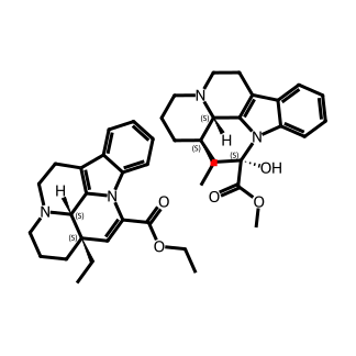 CCOC(=O)C1=C[C@]2(CC)CCCN3CCc4c(n1c1ccccc41)[C@@H]32.CC[C@]12CCCN3CCc4c(n(c5ccccc45)[C@@](O)(C(=O)OC)C1)[C@@H]32